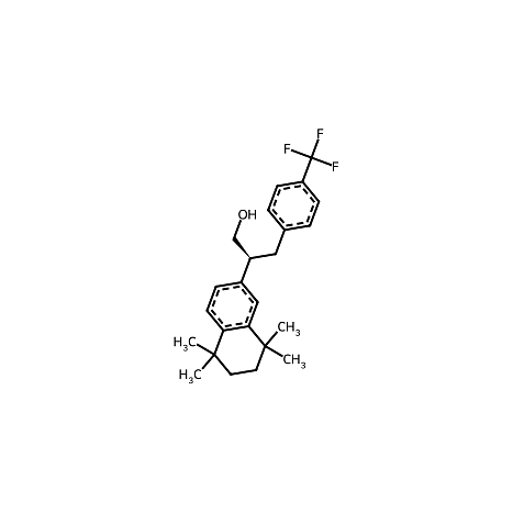 CC1(C)CCC(C)(C)c2cc([C@@H](CO)Cc3ccc(C(F)(F)F)cc3)ccc21